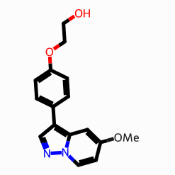 COc1ccn2ncc(-c3ccc(OCCO)cc3)c2c1